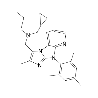 CCCN(Cc1c(C)nc2n(-c3c(C)cc(C)cc3C)c3ncccc3n12)CC1CC1